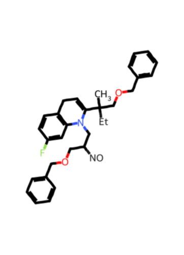 CCC(C)(COCc1ccccc1)C1=CCc2ccc(F)cc2N1CC(COCc1ccccc1)N=O